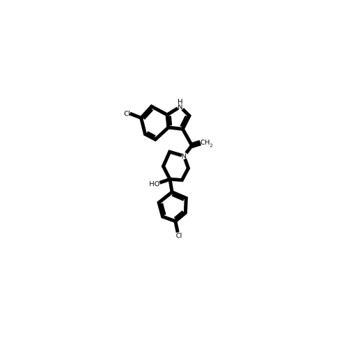 C=C(c1c[nH]c2cc(Cl)ccc12)N1CCC(O)(c2ccc(Cl)cc2)CC1